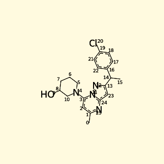 Cc1cc(N2CCCC(O)C2)n2nc(C(C)c3ccc(Cl)cc3)cc2n1